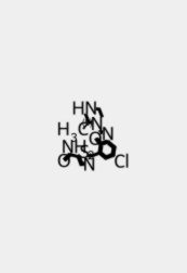 C[C@H]1CNCCN1c1nc2cc(Cl)cc(-c3ncc(C(N)=O)s3)c2o1